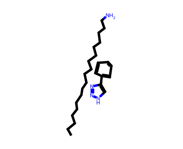 CCCCCCCCCCCCCCCCCCN.c1ccc(-c2c[nH]nn2)cc1